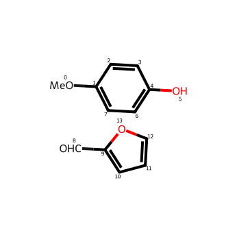 COc1ccc(O)cc1.O=Cc1ccco1